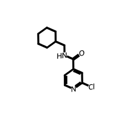 O=C(NCC1CCCCC1)c1ccnc(Cl)c1